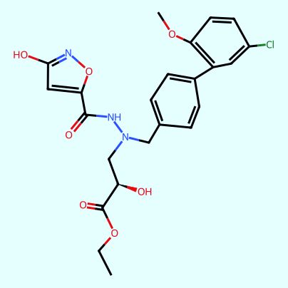 CCOC(=O)[C@H](O)CN(Cc1ccc(-c2cc(Cl)ccc2OC)cc1)NC(=O)c1cc(O)no1